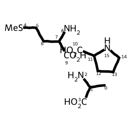 CC(N)C(=O)O.CSCCC(N)C(=O)O.O=C(O)C1CCCN1